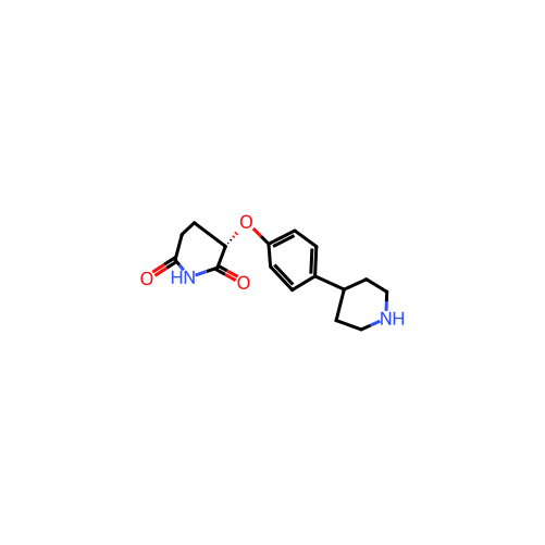 O=C1CC[C@H](Oc2ccc(C3CCNCC3)cc2)C(=O)N1